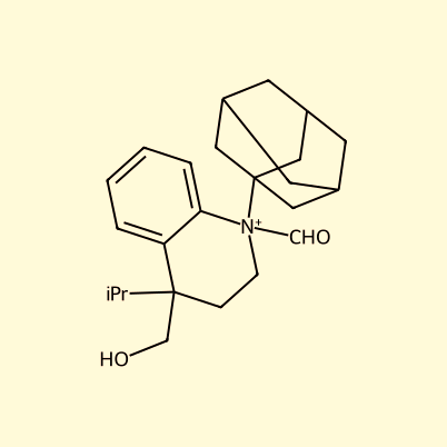 CC(C)C1(CO)CC[N+](C=O)(C23CC4CC(CC(C4)C2)C3)c2ccccc21